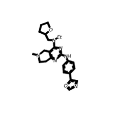 CCN(CC1CCCO1)c1nc(Nc2ccc(-c3cnco3)cc2)nc2c1CN(C)CC2